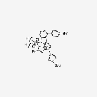 CCC1=Cc2c(-c3ccc(C(C)(C)C)cc3)cccc2[CH]1[Zr]([Cl])([Cl])([CH]1C(C(C)C)=Cc2c(-c3ccc(C(C)C)cc3)cccc21)[SiH](C)C